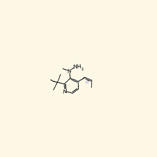 C/C=C\c1ccnc(C(C)(C)C)c1N(C)N